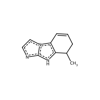 CC1CC=Cc2c1[nH]c1nccn21